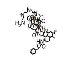 CC[C@@]1(OC(=O)[C@@H](NC(=O)[C@@H]2CCCN2C(=O)[C@H](CC(N)=O)NC(=O)CN(C)CCN(C)CCN(C)CCN)C(C)C)C(=O)OCc2c1cc1n(c2=O)Cc2c-1nc1cc(F)c(C)c3c1c2[C@@H](NC(=O)OCc1ccccc1)CC3